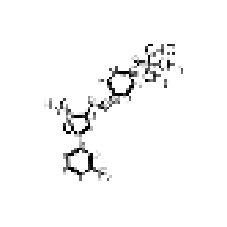 Cc1oc(-c2cccc(F)c2)cc1COc1ccc(SC(C)(C)C=O)cc1